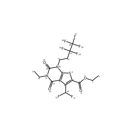 CCOC(=O)c1sc2c(c1C(F)F)c(=O)n(CC)c(=O)n2CCC(F)(F)C(F)(F)F